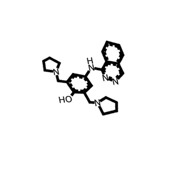 Oc1c(CN2CCCC2)cc(Nc2nncc3ccccc23)cc1CN1CCCC1